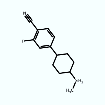 C[SiH2]C1CCC(c2ccc(C#N)c(F)c2)CC1